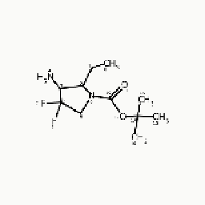 CCC1C(N)C(F)(F)CN1C(=O)OC(C)(C)C